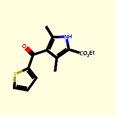 CCOC(=O)c1[nH]c(C)c(C(=O)c2cccs2)c1C